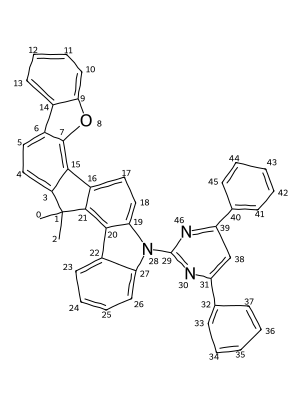 CC1(C)c2ccc3c(oc4ccccc43)c2-c2ccc3c(c21)c1ccccc1n3-c1nc(-c2ccccc2)cc(-c2ccccc2)n1